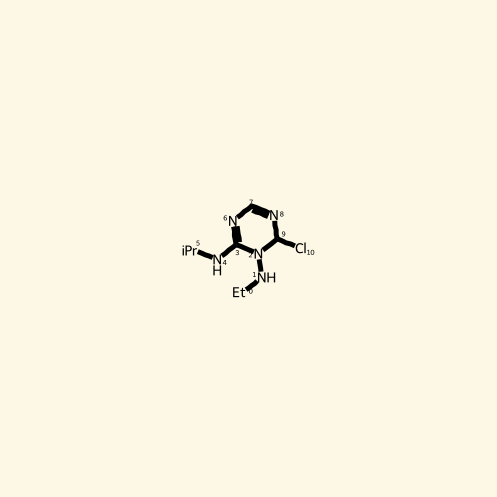 CCNN1C(NC(C)C)=NC=NC1Cl